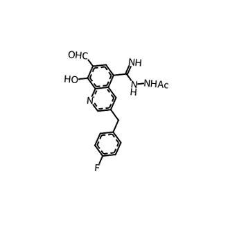 CC(=O)NNC(=N)c1cc(C=O)c(O)c2ncc(Cc3ccc(F)cc3)cc12